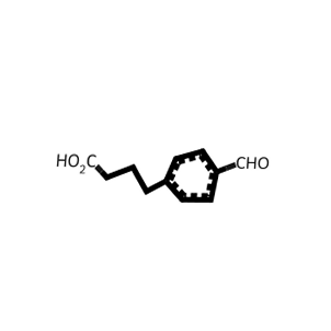 O=Cc1ccc(CCCC(=O)O)cc1